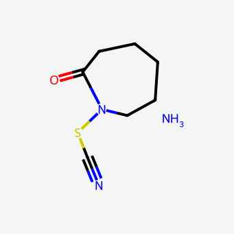 N.N#CSN1CCCCCC1=O